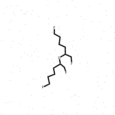 FCCCCC(CF)OC(CF)CCCCF